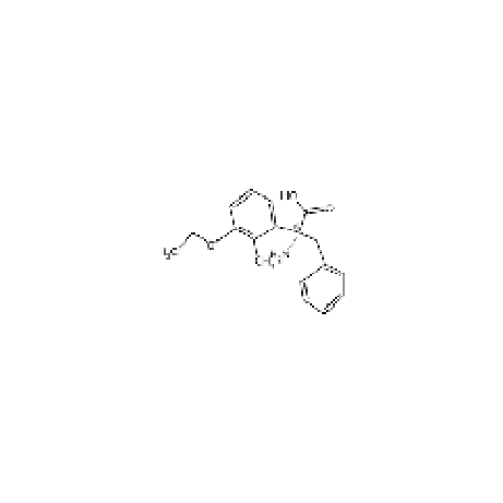 CCOc1cccc([C@](N)(Cc2ccccc2)C(=O)O)c1C